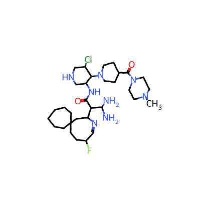 CN1CCN(C(=O)C2CCN(C3C(Cl)CNCC3NC(=O)C(C(N)N)C3CC4(CCCCCC4)CCC(F)/C=N\3)CC2)CC1